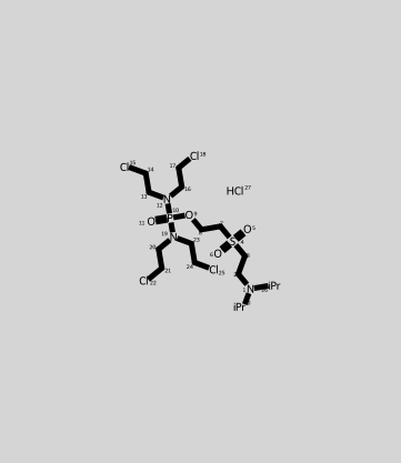 CC(C)N(CCS(=O)(=O)CCOP(=O)(N(CCCl)CCCl)N(CCCl)CCCl)C(C)C.Cl